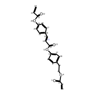 C=CC(=O)OCCc1ccc(OC(=O)/C=C/c2ccc(OC(=O)C=C)cc2)cc1